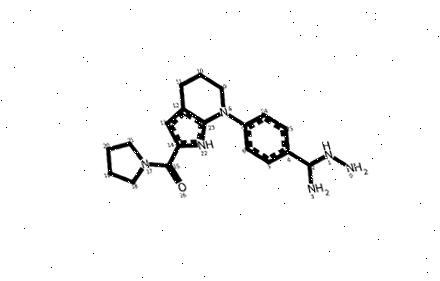 NNC(N)c1ccc(N2CCCc3cc(C(=O)N4CCCC4)[nH]c32)cc1